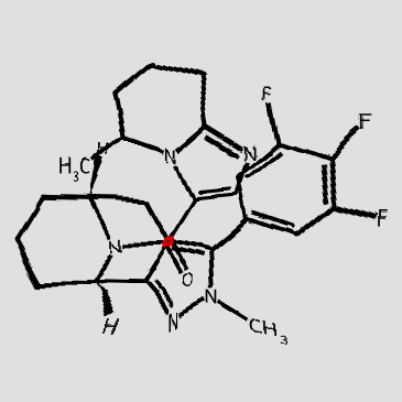 CC1CCCc2ncc(C(=O)N3[C@@H]4CCC[C@H]3c3nn(C)c(-c5cc(F)c(F)c(F)c5)c3C4)n21